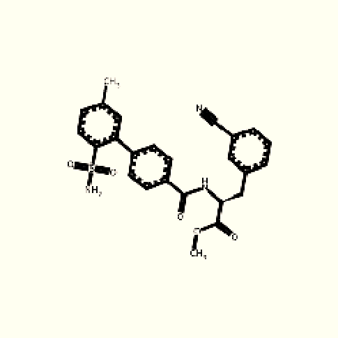 COC(=O)[C@H](Cc1cccc(C#N)c1)NC(=O)c1ccc(-c2cc(C)ccc2S(N)(=O)=O)cc1